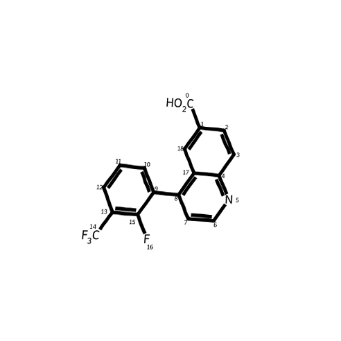 O=C(O)c1ccc2nccc(-c3cccc(C(F)(F)F)c3F)c2c1